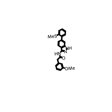 COc1cccc(CC(=O)Nc2n[nH]c3cc(-c4ccccc4SC)ccc23)c1